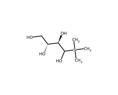 C[Si](C)(C)C(O)[C@H](O)[C@H](O)CO